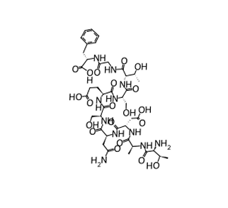 C[C@H](NC(=O)[C@@H](N)[C@@H](C)O)C(=O)N[C@@H](CC(=O)O)C(=O)N[C@@H](CC(N)=O)C(=O)N[C@@H](CO)C(=O)N[C@@H](CCC(=O)O)C(=O)N[C@@H](CO)C(=O)N[C@H](C(=O)NCC(=O)N[C@@H](Cc1ccccc1)C(=O)O)[C@@H](C)O